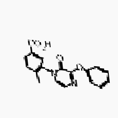 Cc1ccc(C(=O)O)cc1-n1ccnc(Oc2ccccc2)c1=O